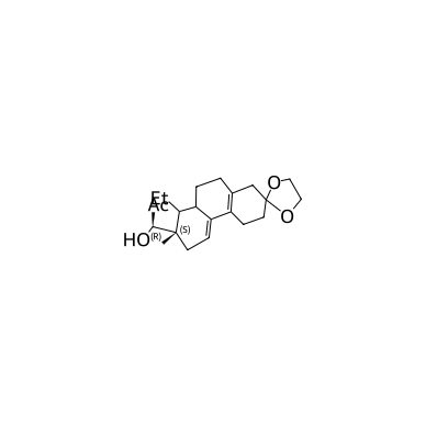 CCC1C2CCC3=C(CCC4(C3)OCCO4)C2=CC[C@]1(C)[C@@H](O)C(C)=O